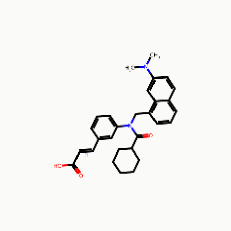 CN(C)c1ccc2cccc(CN(C(=O)C3CCCCC3)c3cccc(/C=C/C(=O)O)c3)c2c1